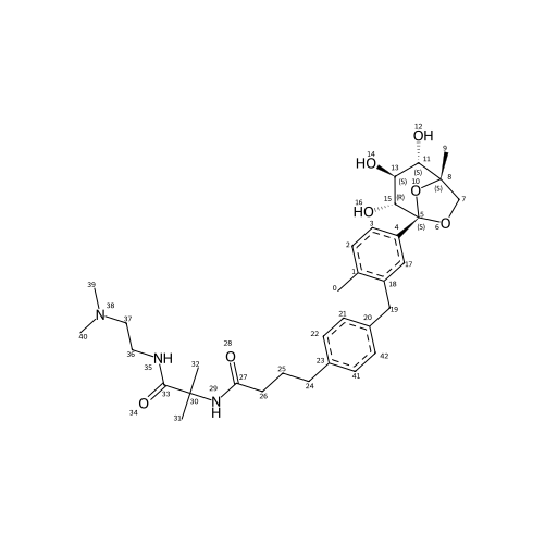 Cc1ccc([C@]23OC[C@](C)(O2)[C@@H](O)[C@H](O)[C@H]3O)cc1Cc1ccc(CCCC(=O)NC(C)(C)C(=O)NCCN(C)C)cc1